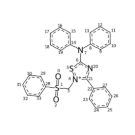 O=S(=O)(C[n+]1sc(N(c2ccccc2)c2ccccc2)nc1-c1ccccc1)c1ccccc1